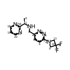 C[C@@H](NCc1ccc(N2CC(F)(F)C2)nn1)c1ncccn1